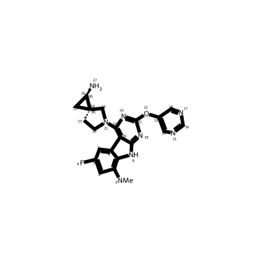 CNc1cc(F)cc2c1[nH]c1nc(Oc3cncnc3)nc(N3CC[C@@]4(C[C@H]4N)C3)c12